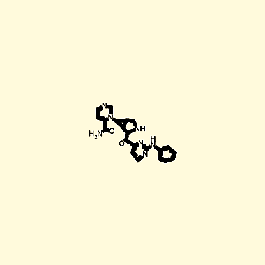 NC(=O)C1=CC=NCN1C1C2CNC(C(=O)c3ccnc(Nc4ccccc4)n3)C21